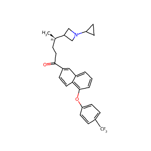 C[C@H](CCC(=O)c1ccc2c(Oc3ccc(C(F)(F)F)cc3)cccc2c1)C1CN(C2CC2)C1